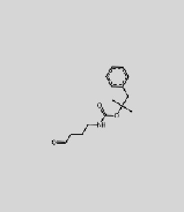 CC(C)(Cc1ccccc1)OC(=O)NCCCC=O